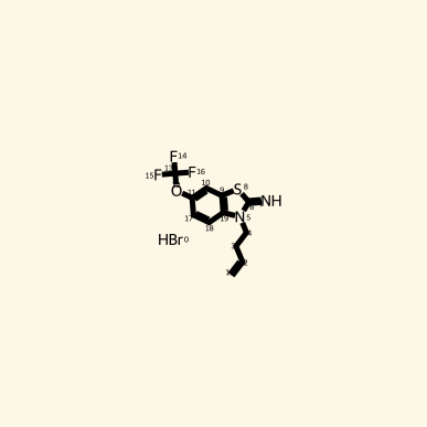 Br.C=CCCn1c(=N)sc2cc(OC(F)(F)F)ccc21